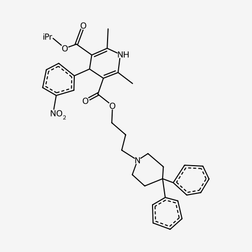 CC1=C(C(=O)OCCCN2CCC(c3ccccc3)(c3ccccc3)CC2)C(c2cccc([N+](=O)[O-])c2)C(C(=O)OC(C)C)=C(C)N1